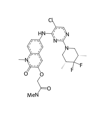 CNC(=O)COc1cc2cc(Nc3nc(N4C[C@@H](C)C(F)(F)[C@@H](C)C4)ncc3Cl)ccc2n(C)c1=O